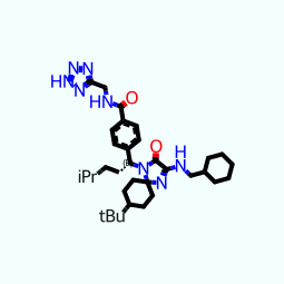 CC(C)CC[C@H](c1ccc(C(=O)NCc2nn[nH]n2)cc1)N1C(=O)C(NCC2CCCCC2)=NC12CCC(C(C)(C)C)CC2